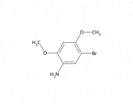 COc1cc(OC)c(Br)cc1N